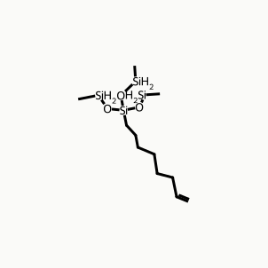 C=CCCCCCC[Si](O[SiH2]C)(O[SiH2]C)O[SiH2]C